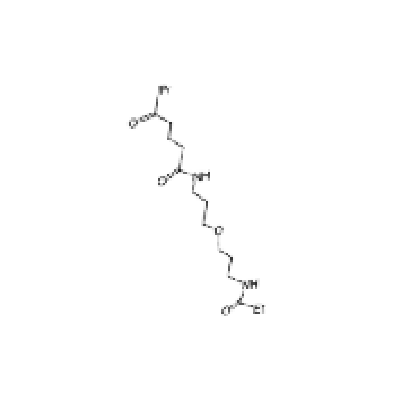 CCC(=O)NCCCOCCCNC(=O)CCCC(=O)C(C)C